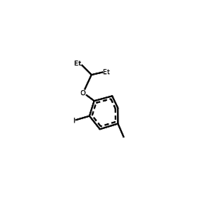 CCC(CC)Oc1ccc(C)cc1I